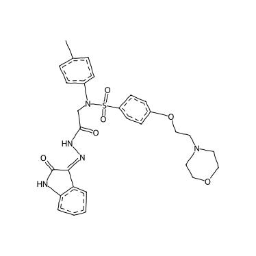 Cc1ccc(N(CC(=O)N/N=C2\C(=O)Nc3ccccc32)S(=O)(=O)c2ccc(OCCN3CCOCC3)cc2)cc1